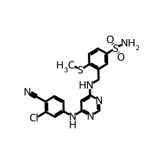 CSc1ccc(S(N)(=O)=O)cc1CNc1cc(Nc2ccc(C#N)c(Cl)c2)ncn1